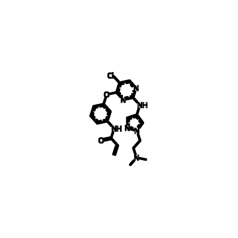 C=CC(=O)Nc1cccc(Oc2nc(Nc3cnn(CCN(C)C)c3)ncc2Cl)c1